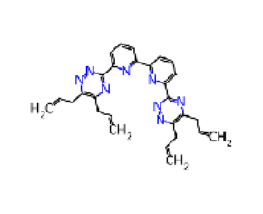 C=CCc1nnc(-c2cccc(-c3cccc(-c4nnc(CC=C)c(CC=C)n4)n3)n2)nc1CC=C